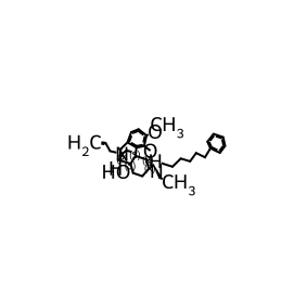 C=CCN1CC[C@]23c4c5ccc(OC)c4O[C@H]2[C@H](N(CC)CCCCCCc2ccccc2)CC[C@@]3(O)[C@H]1C5